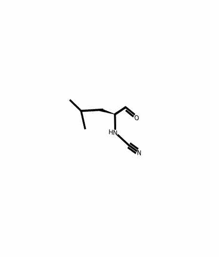 CC(C)C[C@@H](C=O)NC#N